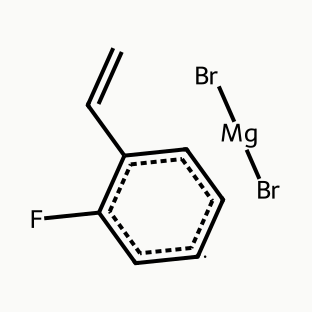 C=Cc1cc[c]cc1F.[Br][Mg][Br]